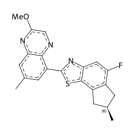 COc1cnc2c(-c3nc4cc(F)c5c(c4s3)C[C@H](C)C5)cc(C)cc2n1